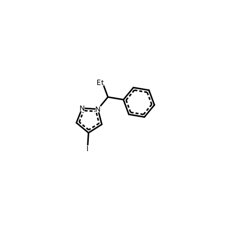 CCC(c1ccccc1)n1cc(I)cn1